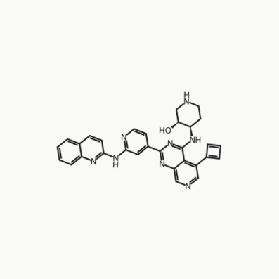 O[C@H]1CNCC[C@H]1Nc1nc(-c2ccnc(Nc3ccc4ccccc4n3)c2)nc2cncc(C3=CC=C3)c12